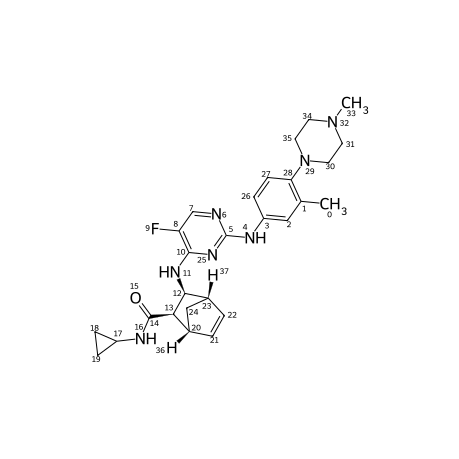 Cc1cc(Nc2ncc(F)c(N[C@@H]3[C@H](C(=O)NC4CC4)[C@H]4C=C[C@@H]3C4)n2)ccc1N1CCN(C)CC1